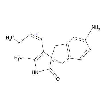 CC/C=C\C1=C(C)NC(=O)[C@@]12Cc1cnc(N)cc1C2